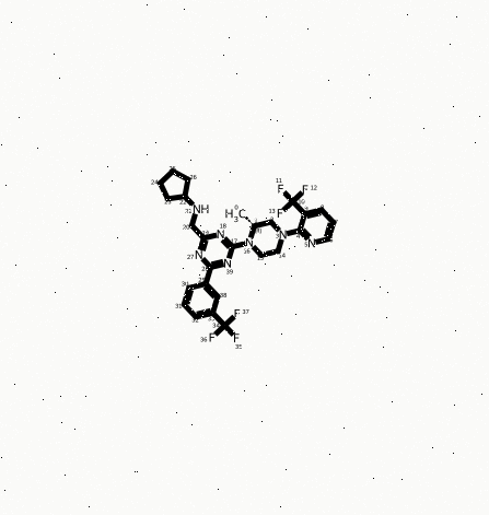 C[C@@H]1CN(c2ncccc2C(F)(F)F)CCN1c1nc(CNC2CCCC2)nc(-c2cccc(C(F)(F)F)c2)n1